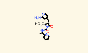 C[C@@H](NC(=O)N1C(=O)[C@H](Cc2ccnc(N)c2)[C@H]1C(=O)O)c1ccccn1